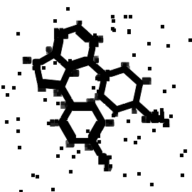 NC1CCN(c2ncnc3scc(-c4ccc(Br)cc4)c23)CC1